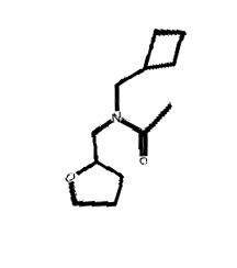 CC(=O)N(CC1CCC1)CC1CCCO1